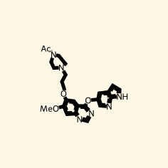 COc1cc2ncnc(Oc3cnc4[nH]ccc4c3)c2cc1OCCCN1CCN(C(C)=O)CC1